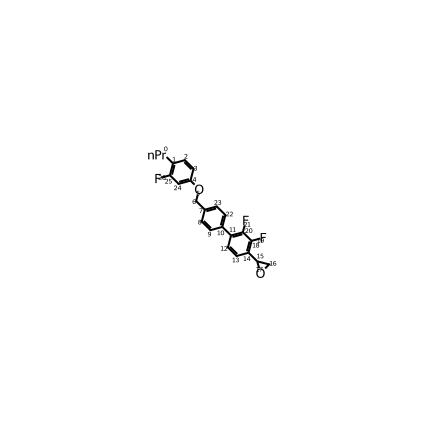 CCCc1ccc(OCc2ccc(-c3ccc(C4CO4)c(F)c3F)cc2)cc1F